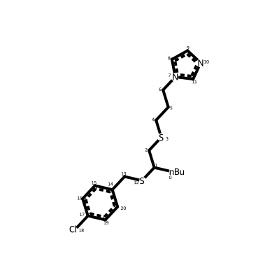 CCCCC(CSCCCn1ccnc1)SCc1ccc(Cl)cc1